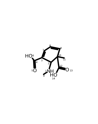 CNC1C(C(=O)O)=CC=CC1(C)C(=O)O